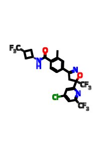 Cc1cc(C2=NO[C@@](c3cc(Cl)cc(C(F)(F)F)n3)(C(F)(F)F)C2)ccc1C(=O)N[C@H]1C[C@H](C(F)(F)F)C1